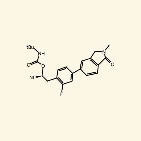 CN1Cc2cc(-c3ccc(C[C@@H](C#N)OC(=O)NC(C)(C)C)c(F)c3)ccc2C1=O